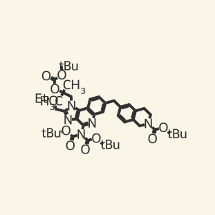 CCOCc1nc2c(N(C(=O)OC(C)(C)C)C(=O)OC(C)(C)C)nc3cc(Cc4ccc5c(c4)CCN(C(=O)OC(C)(C)C)C5)ccc3c2n1CC(C)(C)OC(=O)OC(C)(C)C